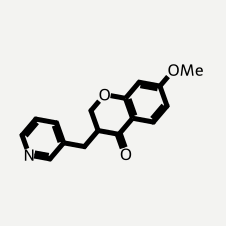 COc1ccc2c(c1)OCC(Cc1cccnc1)C2=O